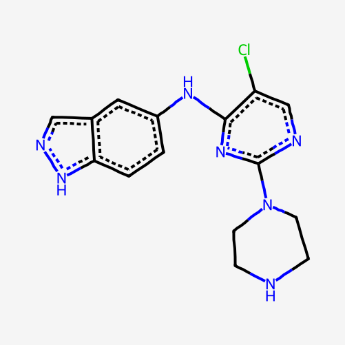 Clc1cnc(N2CCNCC2)nc1Nc1ccc2[nH]ncc2c1